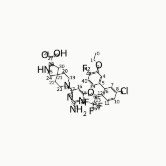 CCOc1cc(-c2cc(Cl)ccc2[C@@H](Oc2cc(N3CCC4(CC3)CN[C@H](C(=O)O)C4)nc(N)n2)C(F)(F)F)ccc1F